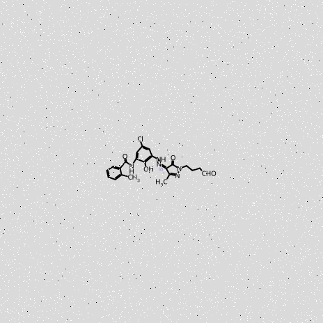 CC1=NN(CCCC=O)C(=O)/C1=N\Nc1cc(Cl)cc(NC(=O)c2ccccc2C)c1O